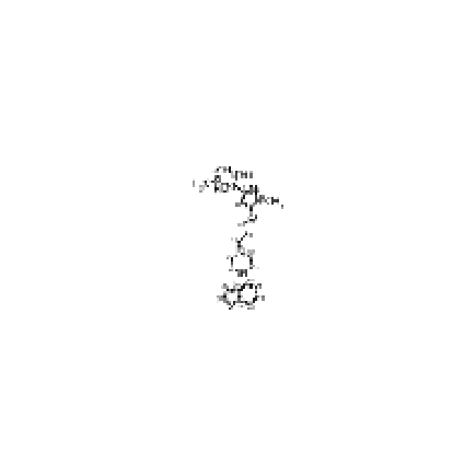 Cn1nc(C(O[SiH](C)C)C(C)(C)C)cc1OCCCN1CCN(c2cccc3sccc23)CC1